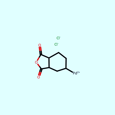 O=C1OC(=O)C2C[CH]([Pd+2])CCC12.[Cl-].[Cl-]